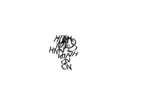 CN1C(=N)N[C@]2(C)c3cc(NC(=O)c4ccc(C#N)cn4)ccc3OCC[C@@H]2S1(O)O